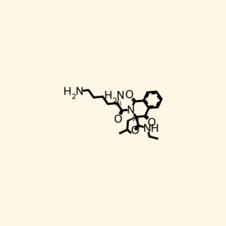 CCNC(=O)[C@@]1(CC(C)C)C(=O)c2ccccc2C(=O)N1C(=O)[C@@H](N)CCCCN